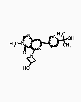 Cn1cnc2cc(-c3ccc(C(C)(C)O)nc3)nc(N3CC(O)C3)c2c1=O